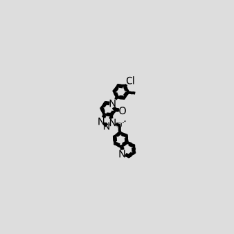 Cc1cc(-n2ccc3nnn([C@H](C)c4ccc5ncccc5c4)c3c2=O)ccc1Cl